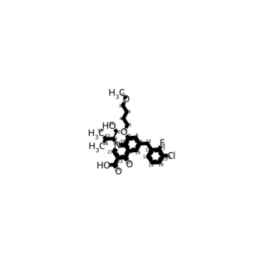 COCCCCOc1cc(Cc2cccc(Cl)c2F)cc2c(=O)c(C(=O)O)cn([C@H](CO)C(C)C)c12